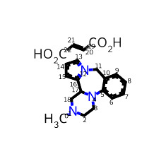 CN1CCN2c3ccccc3Cn3cccc3C2C1.O=C(O)C=CC(=O)O